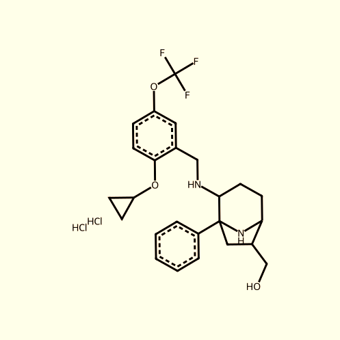 Cl.Cl.OCC1CC2(c3ccccc3)NC1CCC2NCc1cc(OC(F)(F)F)ccc1OC1CC1